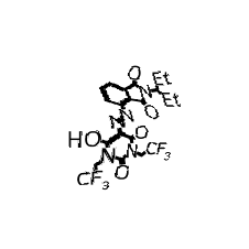 CCC(CC)N1C(=O)c2cccc(N=Nc3c(O)n(CC(F)(F)F)c(=O)n(CC(F)(F)F)c3=O)c2C1=O